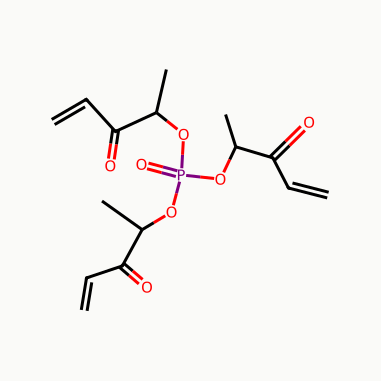 C=CC(=O)C(C)OP(=O)(OC(C)C(=O)C=C)OC(C)C(=O)C=C